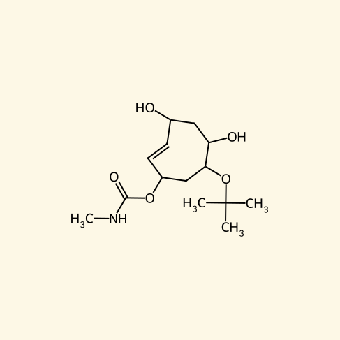 CNC(=O)OC1/C=C/C(O)CC(O)C(OC(C)(C)C)C1